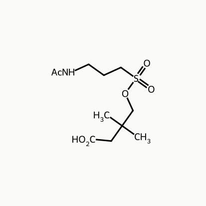 CC(=O)NCCCS(=O)(=O)OCC(C)(C)CC(=O)O